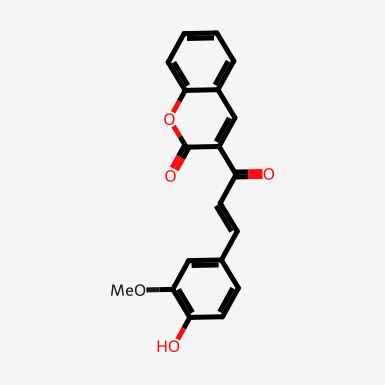 COc1cc(/C=C/C(=O)c2cc3ccccc3oc2=O)ccc1O